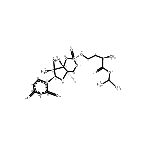 CC(C)OC(=O)[C@H](C)CCO[P@]1(=O)OC[C@@]2(F)O[C@@H](n3ccc(=O)[nH]c3=O)[C@](C)(O)[C@@H]2O1